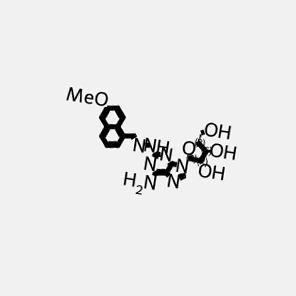 COc1ccc2c(C=NNc3nc(N)c4ncn([C@@H]5O[C@H](CO)[C@@H](O)[C@H]5O)c4n3)cccc2c1